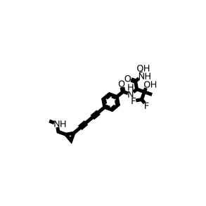 CNCC1CC1C#CC#Cc1ccc(C(=O)NC(C(=O)NO)C(C)(O)C(F)F)cc1